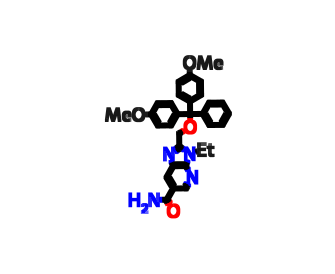 [CH2]Cn1c(COC(c2ccccc2)(c2ccc(OC)cc2)c2ccc(OC)cc2)nc2cc(C(N)=O)cnc21